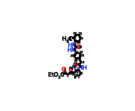 CCOC(=O)C(=O)Cc1cc(C(CC(C)C)NC(=O)Cc2ccc(NC(=O)Nc3ccccc3C)cc2)no1